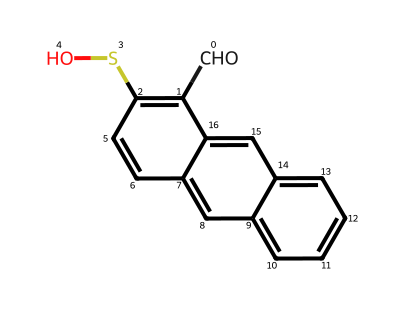 O=Cc1c(SO)ccc2cc3ccccc3cc12